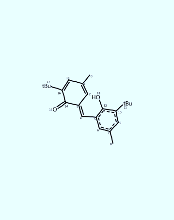 CC1=C/C(=C\c2cc(C)cc(C(C)(C)C)c2O)C(=O)C(C(C)(C)C)=C1